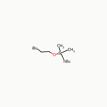 CCCC[Si](C)(C)OCCC(C)CC